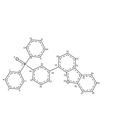 O=P(c1ccccc1)(c1ccccc1)c1cccc(-c2cccc3c2oc2ccccc23)c1